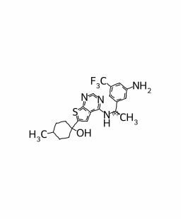 CC1CCC(O)(c2cc3c(N[C@H](C)c4cc(N)cc(C(F)(F)F)c4)ncnc3s2)CC1